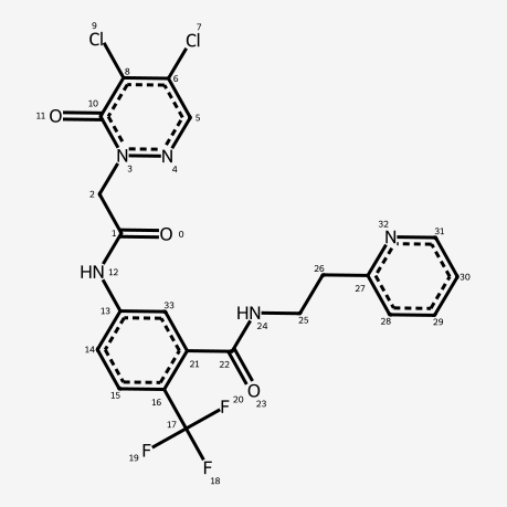 O=C(Cn1ncc(Cl)c(Cl)c1=O)Nc1ccc(C(F)(F)F)c(C(=O)NCCc2ccccn2)c1